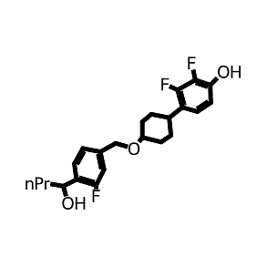 CCCC(O)c1ccc(COC2CCC(c3ccc(O)c(F)c3F)CC2)cc1F